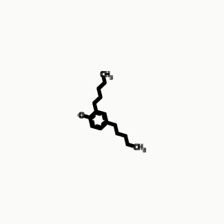 CCCCCc1ccc([O])c(CCCCC)c1